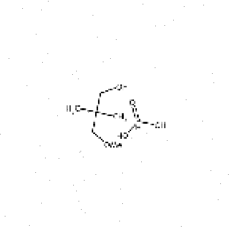 COCC(C)(C)CO.O=[PH](O)O